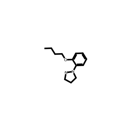 CCCCOc1ccccc1N1CCC[N]1